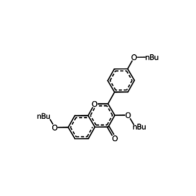 CCCCOc1ccc(-c2oc3cc(OCCCC)ccc3c(=O)c2OCCCC)cc1